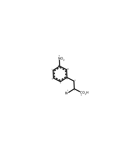 O=C(O)C(Br)Cc1cccc([N+](=O)[O-])c1